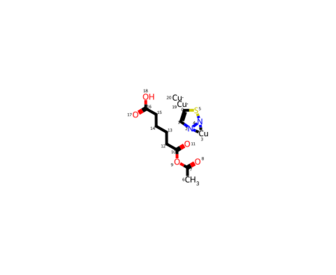 C1=C[N]2[Cu][N]2S1.CC(=O)OC(=O)CCCCC(=O)O.[Cu].[Cu]